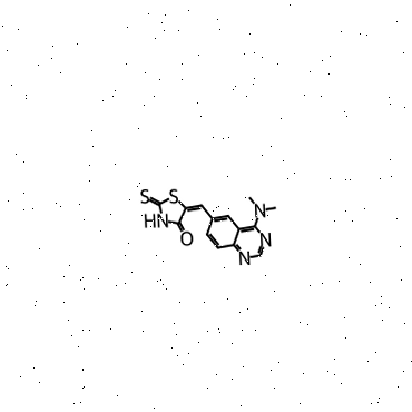 CN(C)c1ncnc2ccc(/C=C3/SC(=S)NC3=O)cc12